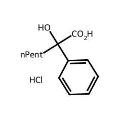 CCCCCC(O)(C(=O)O)c1ccccc1.Cl